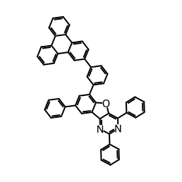 c1ccc(-c2cc(-c3cccc(-c4ccc5c6ccccc6c6ccccc6c5c4)c3)c3oc4c(-c5ccccc5)nc(-c5ccccc5)nc4c3c2)cc1